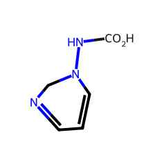 O=C(O)NN1C=CC=NC1